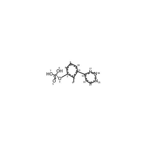 Cc1c(OP(=O)(O)O)cccc1-c1ccnnn1